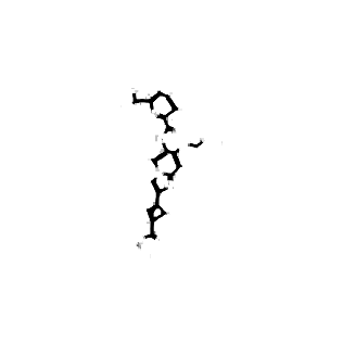 CCOc1cc2nc(C34CC(C(=O)OC)(C3)C4)cn2cc1NC(=O)c1cccc(C(F)F)n1